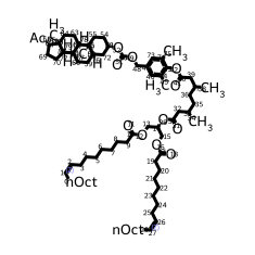 CCCCCCCC/C=C\CCCCCCCC(=O)OCC(COC(=O)CCCCCCC/C=C\CCCCCCCC)OC(=O)CC(C)CCC(C)CC(=O)Oc1c(C)cc(COC(=O)O[C@@H]2CC[C@@]3(C)[C@@H](CC[C@@H]4[C@@H]3CC[C@]3(C)[C@@H](C(C)=O)CC[C@@H]43)C2)cc1C